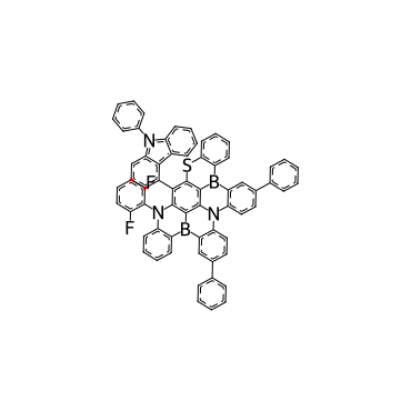 Fc1cccc(F)c1N1c2ccccc2B2c3cc(-c4ccccc4)ccc3N3c4ccc(-c5ccccc5)cc4B4c5ccccc5Sc5c4c3c2c1c5-c1cccc2c1c1ccccc1n2-c1ccccc1